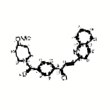 COC1CCN(C(=O)c2ccc(C(=O)C=Cc3ccc4ccccc4n3)cc2)CC1